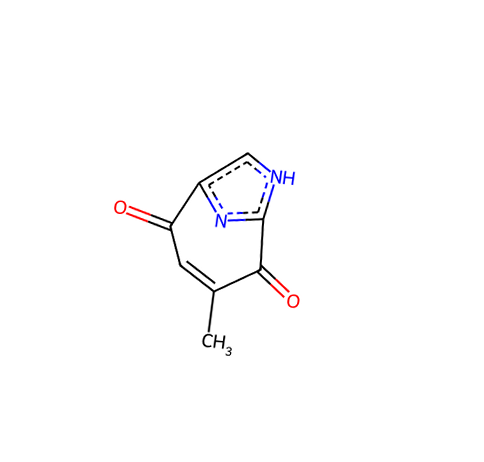 CC1=CC(=O)c2c[nH]c(n2)C1=O